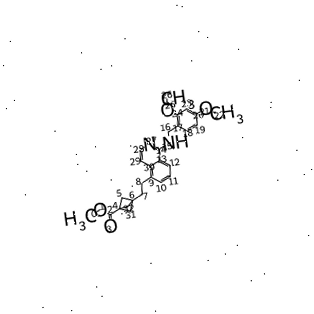 COC(=O)C12CC(CCc3cccc4c(NCc5ccc(OC)cc5OC)nccc34)(C1)C2